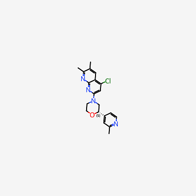 Cc1cc([C@H]2CN(c3cc(Cl)c4cc(C)c(C)nc4n3)CCO2)ccn1